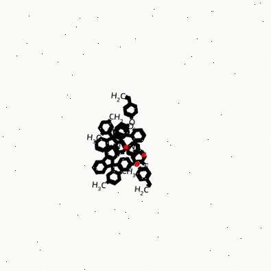 C=CC1=CC=C(OC2=CC=C(C3(C4=CC(C)CC=C4C)c4cc(N(C5=CC=CC6OC7C=CC=C(N(c8ccc(F)cc8)c8ccc9c(c8)C(C8=CC=C(Oc%10ccc(C=C)cc%10)CC8)(C8CC(C)=CCC8C)C8CCC=CC98)C7C56)c5ccc(F)cc5)ccc4C4C=CCCC43)CC2)CC1